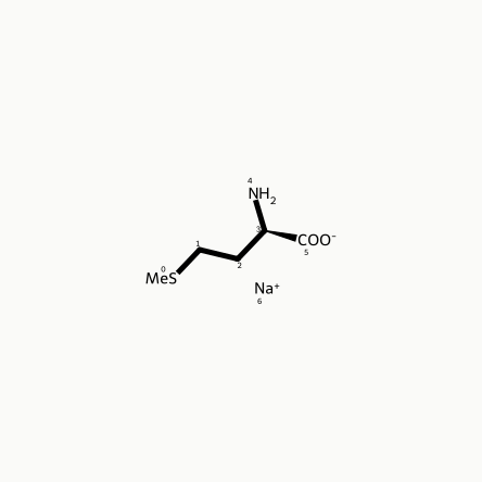 CSCC[C@@H](N)C(=O)[O-].[Na+]